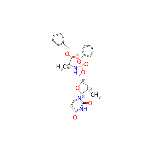 C[C@H](NP(=O)(OC[C@@H]1C[C@H](C)[C@H](n2ccc(=O)[nH]c2=O)O1)Oc1ccccc1)C(=O)OCc1ccccc1